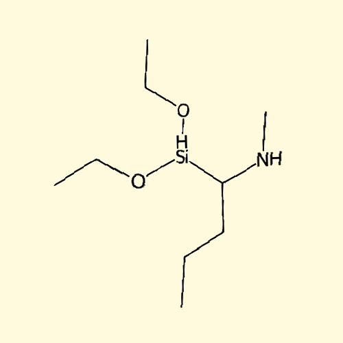 CCCC(NC)[SiH](OCC)OCC